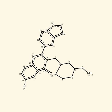 NCC1CCCC(Cn2c(-c3ccc4occc4c3)nc3ccc(Cl)cc3c2=O)C1